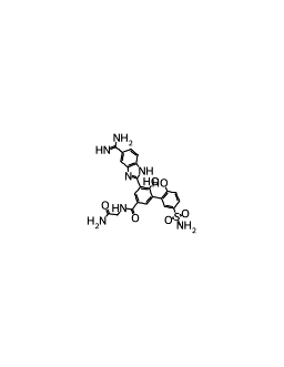 N=C(N)c1ccc2[nH]c(-c3cc(C(=O)NCC(N)=O)cc(-c4cc(S(N)(=O)=O)ccc4O)c3O)nc2c1